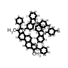 Cc1c(-c2ccccc2)n(-c2ccc3c(c2)c2ccccc2n3-c2ccc(F)cc2)c2c1ccc1c3ccc4c(C)c(-c5ccccc5)n(-c5ccc6c(c5)c5ccccc5n6-c5ccc(F)cc5)c4c3ccc12